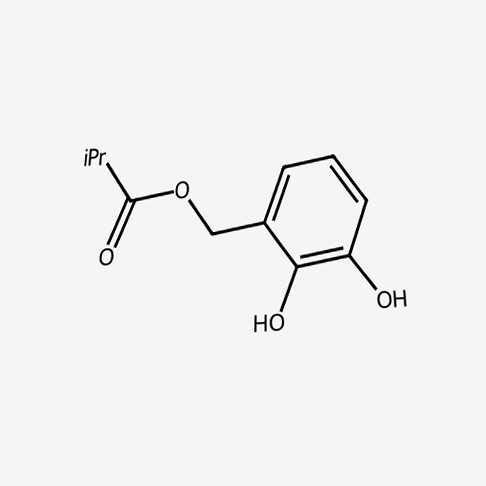 CC(C)C(=O)OCc1cccc(O)c1O